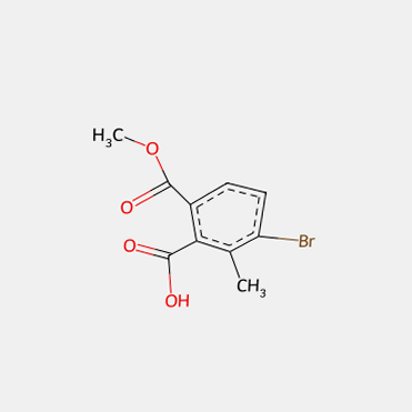 COC(=O)c1ccc(Br)c(C)c1C(=O)O